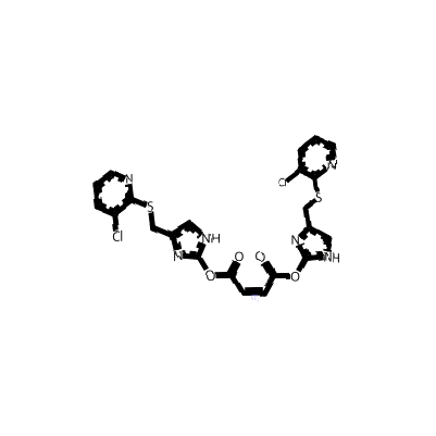 O=C(/C=C\C(=O)Oc1nc(CSc2ncccc2Cl)c[nH]1)Oc1nc(CSc2ncccc2Cl)c[nH]1